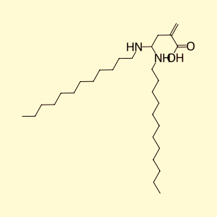 C=C(CC(NCCCCCCCCCCCC)NCCCCCCCCCCCC)C(=O)O